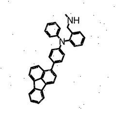 CNCc1ccccc1N(c1ccccc1)c1ccc(-c2ccc3c4c(cccc24)-c2ccccc2-3)cc1